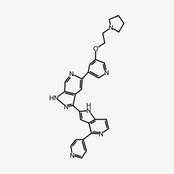 c1cc(-c2nccc3[nH]c(-c4n[nH]c5cnc(-c6cncc(OCCN7CCCC7)c6)cc45)cc23)ccn1